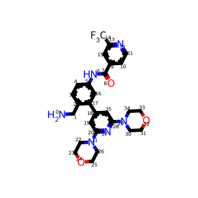 NCc1ccc(NC(=O)c2ccnc(C(F)(F)F)c2)cc1-c1cc(N2CCOCC2)nc(N2CCOCC2)c1